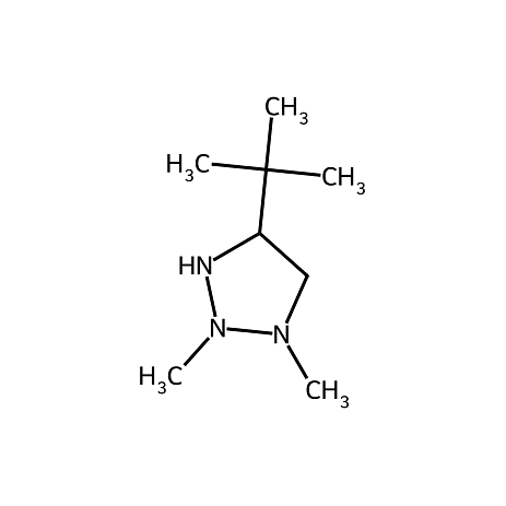 CN1CC(C(C)(C)C)NN1C